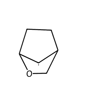 [CH]1C2CCC1OC2